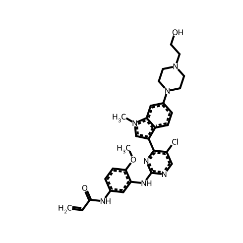 C=CC(=O)Nc1ccc(OC)c(Nc2ncc(Cl)c(-c3cn(C)c4cc(N5CCN(CCO)CC5)ccc34)n2)c1